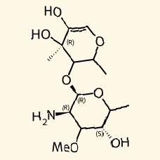 COC1[C@@H](O)C(C)O[C@H](OC2C(C)OC=C(O)[C@]2(C)O)[C@@H]1N